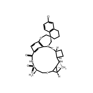 C[C@@H]1CCC2[C@H]3C[C@@]23[C@](C)(O)[C@@H]2CC[C@H]2CN2C[C@@]3(CCCc4cc(Cl)ccc43)COc3ccc(cc32)C(=O)NS1(=O)=O